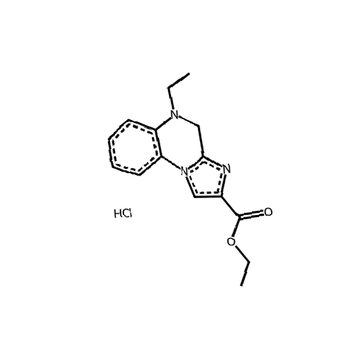 CCOC(=O)c1cn2c(n1)CN(CC)c1ccccc1-2.Cl